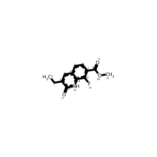 CCc1cc2ccc(C(=O)OC)c(F)c2[nH]c1=O